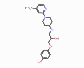 CCOC(=O)c1ccnc(N2CCC(NCC(O)COc3ccc(O)cc3)CC2)c1